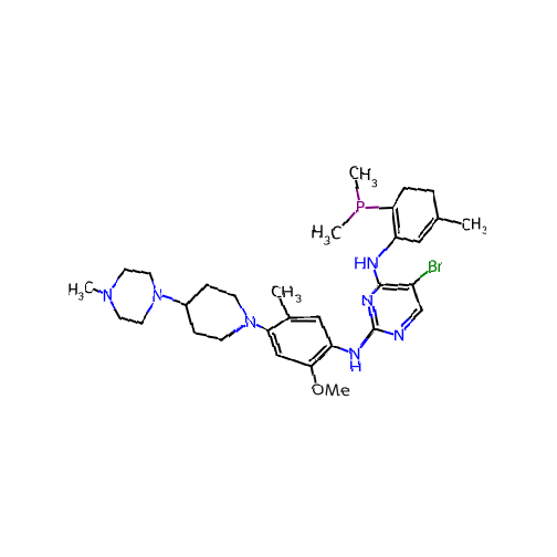 COc1cc(N2CCC(N3CCN(C)CC3)CC2)c(C)cc1Nc1ncc(Br)c(NC2=C(P(C)C)CCC(C)=C2)n1